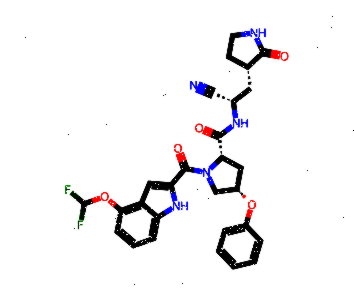 N#C[C@H](C[C@@H]1CCNC1=O)NC(=O)[C@@H]1C[C@H](Oc2ccccc2)CN1C(=O)c1cc2c(OC(F)F)cccc2[nH]1